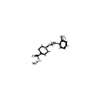 CC(C)(C)OC(=O)C1CCN(CCNc2ccccc2[N+](=O)[O-])CC1